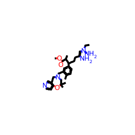 CCN(N)/C=C(\N)CCC(c1ccc(C)c(CN2Cc3cnccc3OC(C)(C)C2)c1)C(C)C(=O)OC